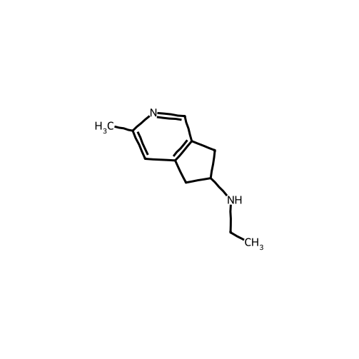 CCNC1Cc2cnc(C)cc2C1